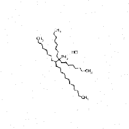 CCCCCCCCCCCCC(CCCCCCCC)C(P)(CCCCCCCC)CCCCCCCC.Cl